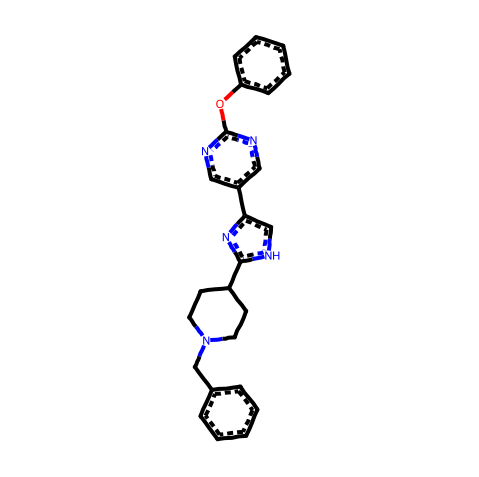 c1ccc(CN2CCC(c3nc(-c4cnc(Oc5ccccc5)nc4)c[nH]3)CC2)cc1